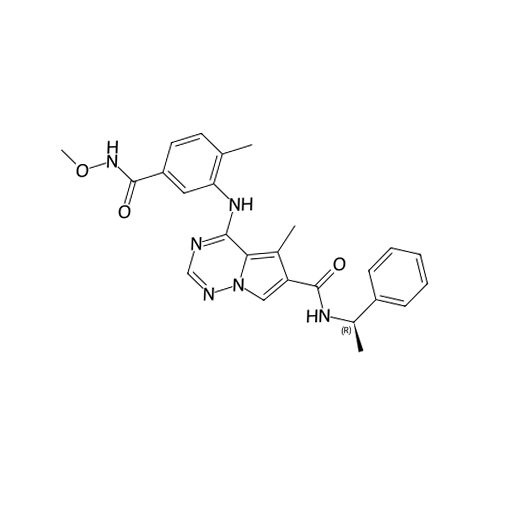 CONC(=O)c1ccc(C)c(Nc2ncnn3cc(C(=O)N[C@H](C)c4ccccc4)c(C)c23)c1